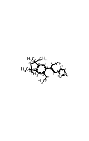 CCC(=Cc1ccno1)c1cc2c(cc1CC)C(C)(C)CC2(C)C